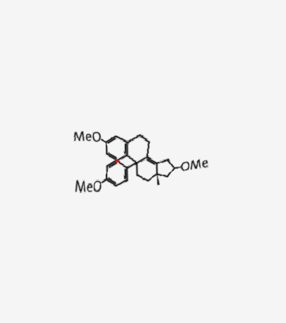 COc1ccc(C23CC[C@@]4(C)CC(OC)CC4=C2CCc2cc(OC)ccc23)cc1